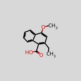 CCc1cc(OC)c2ccccc2c1C(=O)O